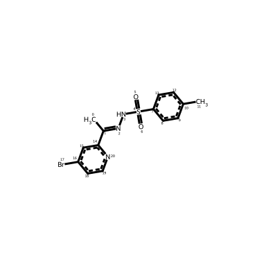 C/C(=N\NS(=O)(=O)c1ccc(C)cc1)c1cc(Br)ccn1